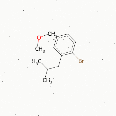 CC(C)Cc1ccccc1Br.COC